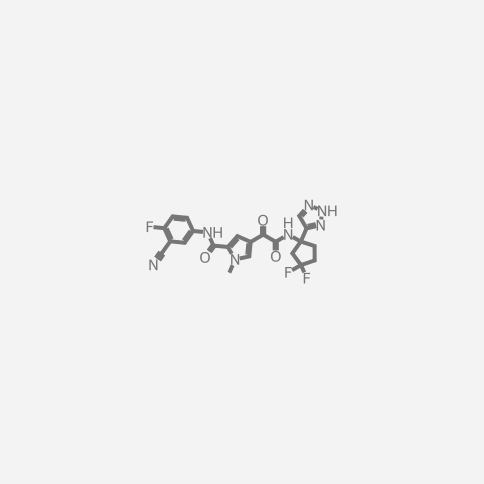 Cn1cc(C(=O)C(=O)NC2(c3cn[nH]n3)CCC(F)(F)C2)cc1C(=O)Nc1ccc(F)c(C#N)c1